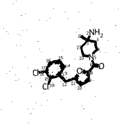 CC1(N)CCN(C(=O)c2ccc(Cc3cccc(Cl)c3Cl)o2)CC1